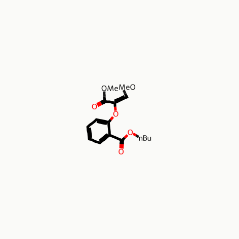 CCCCOC(=O)c1ccccc1OC(=COC)C(=O)OC